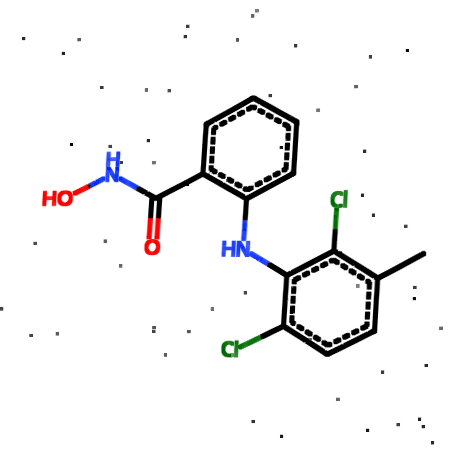 Cc1ccc(Cl)c(Nc2ccccc2C(=O)NO)c1Cl